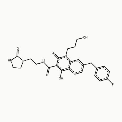 O=C(NCCN1CCNC1=O)c1c(O)c2ncc(Cc3ccc(F)cc3)cc2n(CCCO)c1=O